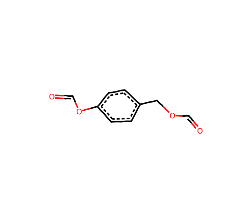 O=COCc1ccc(OC=O)cc1